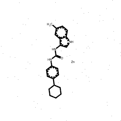 Cc1ccc2[nH]cc(NC(=O)Nc3ccc(C4CCCCC4)cc3)c2c1.[Zn]